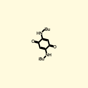 CCC(C)NC1=CC(=O)C(NC(C)CC)=CC1=O